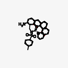 Cc1ccc(S(=O)(=O)N(Cc2ccccc2N)P(Oc2ccccc2-c2ccccc2)Oc2ccccc2-c2ccccc2)cc1